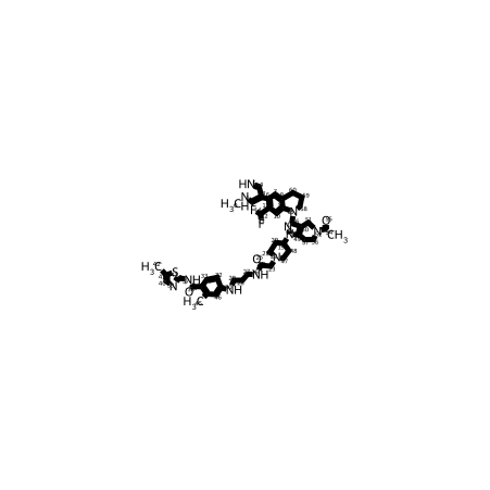 CN/C=C(\C=N)c1cc2c(cc1C(F)F)N(c1nn(C3CCN(CC(=O)NCCCNc4ccc(C(=O)Nc5ncc(C)s5)c(C)c4)CC3)c3c1CN(C(C)=O)CC3)CCC2